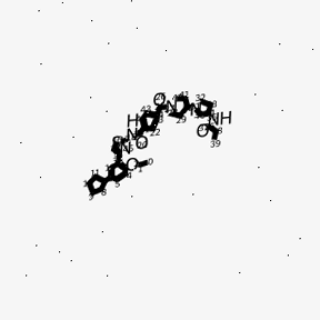 CCOc1ccc(C2CCCC2)cc1-c1csc(NC(=O)c2ccc(C(=O)N3CCC(N4CC[C@@H](NC(=O)CC)C4)CC3)cc2)n1